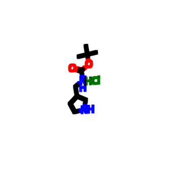 CC(C)(C)OC(=O)NCC1CCNC1.Cl